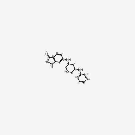 O=c1[nH][nH]c2cc(NC3COCC(Nc4nccnn4)C3)ccc12